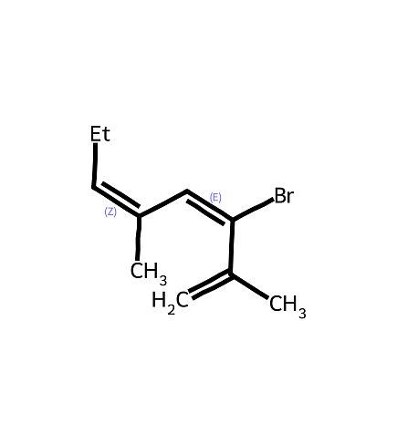 C=C(C)/C(Br)=C\C(C)=C/CC